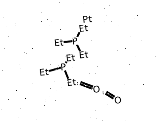 CCP(CC)CC.CCP(CC)CC.[C]=O.[C]=O.[Pt]